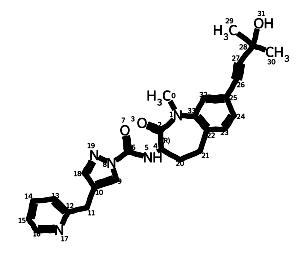 CN1C(=O)[C@H](NC(=O)n2cc(Cc3ccccn3)cn2)CCc2ccc(C#CC(C)(C)O)cc21